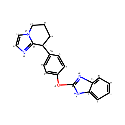 c1ccc2[nH]c(Oc3ccc(C4CCCn5ccnc54)cc3)nc2c1